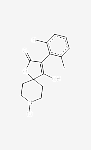 CCN1CCC2(CC1)OC(=O)C(c1c(C)cccc1Cl)=C2O